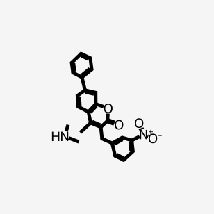 CNC.Cc1c(Cc2cccc([N+](=O)[O-])c2)c(=O)oc2cc(-c3ccccc3)ccc12